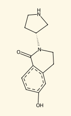 O=C1c2ccc(O)cc2CCN1[C@@H]1CCNC1